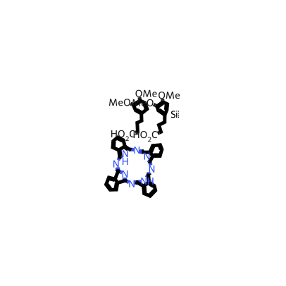 COc1ccc(CCCC(=O)O)cc1OC.COc1ccc(CCCC(=O)O)cc1OC.[Si].c1ccc2c(c1)-c1nc-2nc2[nH]c(nc3nc(nc4[nH]c(n1)c1ccccc41)-c1ccccc1-3)c1ccccc21